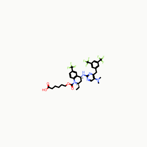 CC[C@@H]1C[C@H](Nc2ncc(N(C)C)c(Cc3cc(C(F)(F)F)cc(C(F)(F)F)c3)n2)c2cc(C(F)(F)F)ccc2N1C(=O)OCCCCCC(=O)O